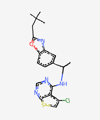 CC(Nc1ncnc2scc(Cl)c12)c1ccc2oc(CC(C)(C)C)nc2c1